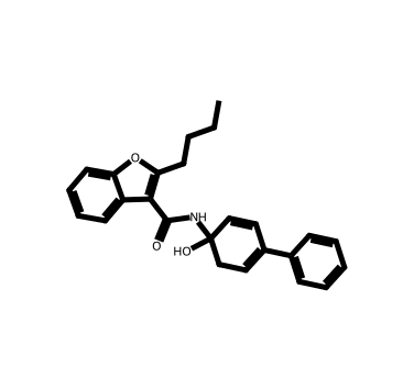 CCCCc1oc2ccccc2c1C(=O)NC1(O)C=CC(c2ccccc2)=CC1